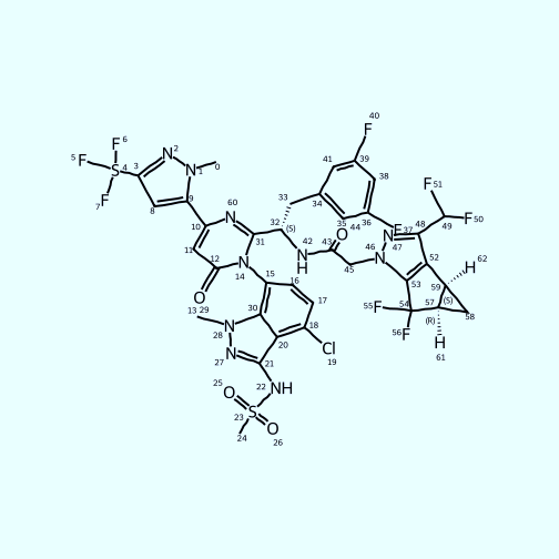 Cn1nc(S(F)(F)F)cc1-c1cc(=O)n(-c2ccc(Cl)c3c(NS(C)(=O)=O)nn(C)c23)c([C@H](Cc2cc(F)cc(F)c2)NC(=O)Cn2nc(C(F)F)c3c2C(F)(F)[C@@H]2C[C@H]32)n1